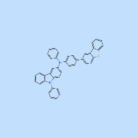 c1ccc(N(c2ccc(-c3ccc4sc5ccccc5c4c3)cc2)c2ccc3c(c2)c2ccccc2n3-c2ccccc2)cc1